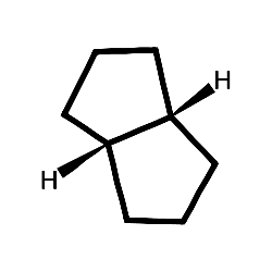 C1C[C@H]2CCC[C@H]2C1